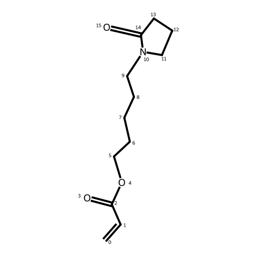 C=CC(=O)OCCCCCN1CCCC1=O